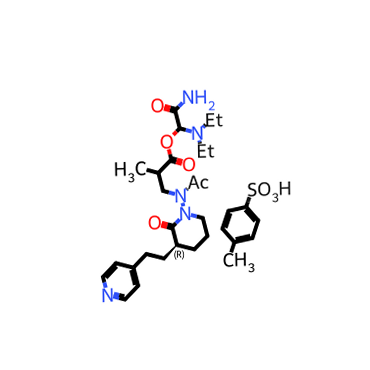 CCN(CC)C(OC(=O)C(C)CN(C(C)=O)N1CCC[C@@H](CCc2ccncc2)C1=O)C(N)=O.Cc1ccc(S(=O)(=O)O)cc1